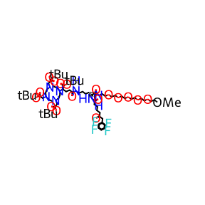 COCCOCCOCCOCCOCCOCCNC(=O)[C@@H](CCCCNC(=O)CCC(C(=O)OC(C)(C)C)N1CCN(CC(=O)OC(C)(C)C)CCN(CC(=O)OC(C)(C)C)CCN(CC(=O)OC(C)(C)C)CC1)NC(=O)CCCCC(=O)Cc1c(F)c(F)cc(F)c1F